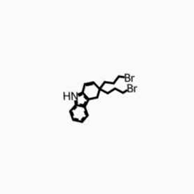 BrCCCC1(CCCBr)C=Cc2[nH]c3ccccc3c2C1